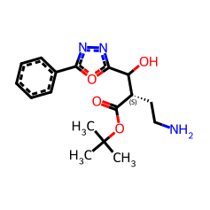 CC(C)(C)OC(=O)[C@@H](CCN)C(O)c1nnc(-c2ccccc2)o1